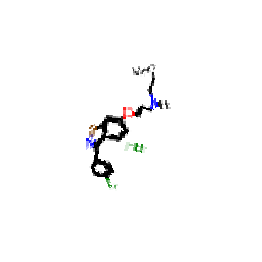 Br.CCN(CCCOc1ccc2c(-c3ccc(Br)cc3)nsc2c1)CCOC